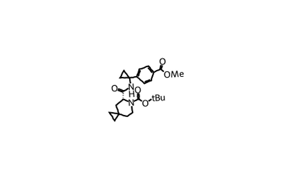 COC(=O)c1ccc(C2(NC(=O)[C@H]3CC4(CCN3C(=O)OC(C)(C)C)CC4)CC2)cc1